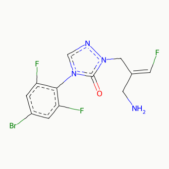 NC/C(=C/F)Cn1ncn(-c2c(F)cc(Br)cc2F)c1=O